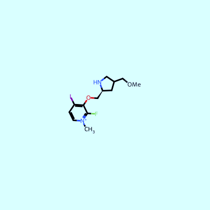 COCC1CN[C@H](COc2c(I)cc[n+](C)c2F)C1